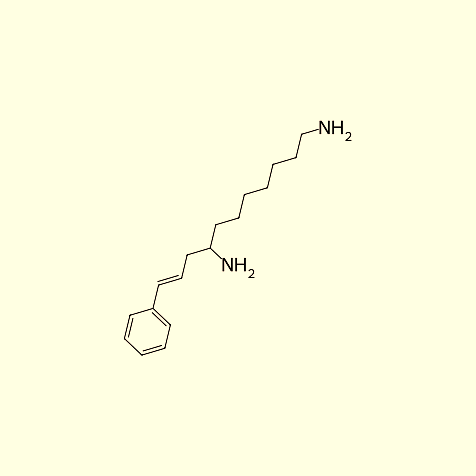 NCCCCCCCC(N)C/C=C/c1ccccc1